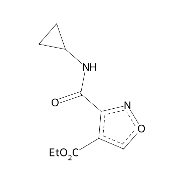 CCOC(=O)c1conc1C(=O)NC1CC1